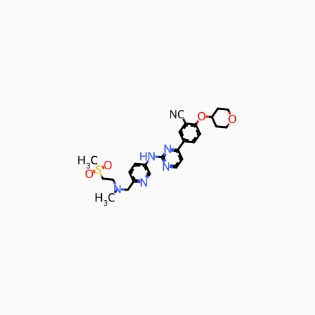 CN(CCS(C)(=O)=O)Cc1ccc(Nc2nccc(-c3ccc(OC4CCOCC4)c(C#N)c3)n2)cn1